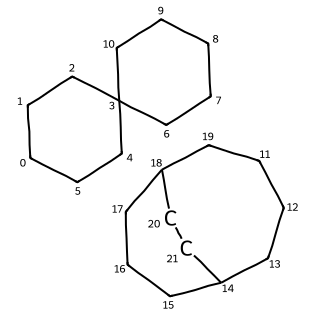 C1CCC2(CC1)CCCCC2.C1CCC2CCCC(C1)CC2